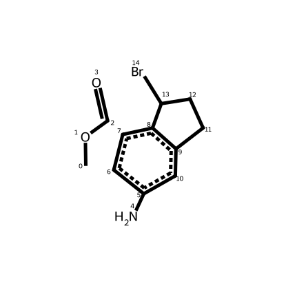 COC=O.Nc1ccc2c(c1)CCC2Br